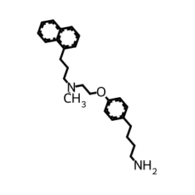 CN(CCCc1cccc2ccccc12)CCOc1ccc(CCCCN)cc1